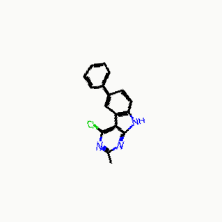 Cc1nc(Cl)c2c(n1)[nH]c1ccc(-c3ccccc3)cc12